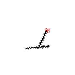 CCCCCCCCCCCC(CCCCCCCC)CCCCCCCCCCCCCC(=O)O